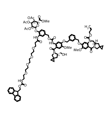 C=CCOC(=O)N1C[C@@H]2CC3(CC3)CN2C(=O)c2cc(OC)c(OCc3cccc(COc4cc(NC(=O)OCc5ccc(O[C@H]6O[C@@H](C(=O)OC)[C@H](OC(C)=O)[C@@H](OC(C)=O)[C@@H]6OC(C)=O)c(NC(=O)CCOCCOCCOCCOCCNC(=O)OCC6c7ccccc7-c7ccccc76)c5)c(C(=O)N5CC6(CC6)C[C@H]5CO)cc4OC)c3)cc21